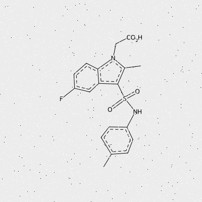 Cc1ccc(NS(=O)(=O)c2c(C)n(CC(=O)O)c3ccc(F)cc23)cc1